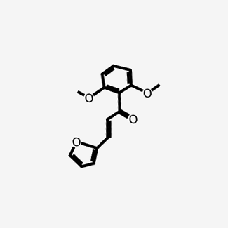 COc1cccc(OC)c1C(=O)C=Cc1ccco1